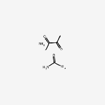 CC(=O)C(C)=O.N.NC(N)=O